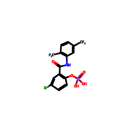 O=C(Nc1cc(C(F)(F)F)ccc1C(F)(F)F)c1cc(Br)ccc1OP(=O)(O)O